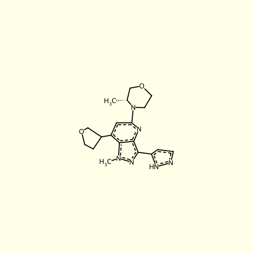 C[C@@H]1COCCN1c1cc(C2CCOC2)c2c(n1)c(-c1ccn[nH]1)nn2C